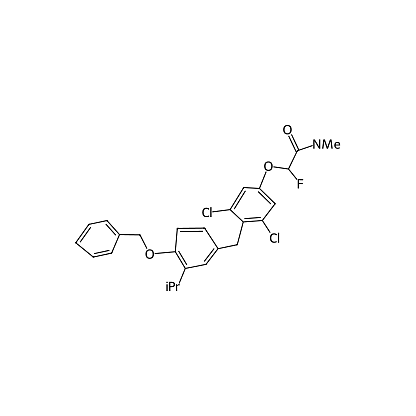 CNC(=O)C(F)Oc1cc(Cl)c(Cc2ccc(OCc3ccccc3)c(C(C)C)c2)c(Cl)c1